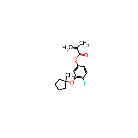 C=C(C)C(=O)Oc1ccc(F)c(OC2(C)CCCC2)c1